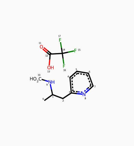 CC(Cc1ccccn1)NC(=O)O.O=C(O)C(F)(F)F